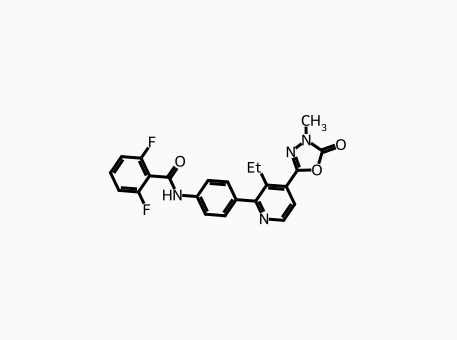 CCc1c(-c2nn(C)c(=O)o2)ccnc1-c1ccc(NC(=O)c2c(F)cccc2F)cc1